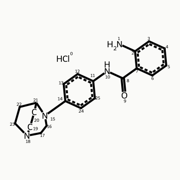 Cl.Nc1ccccc1C(=O)Nc1ccc(N2CCN3CCC2CC3)cc1